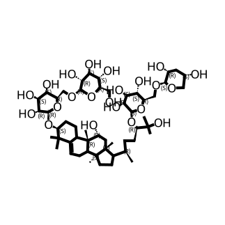 C[C@H](CC[C@@H](O[C@@H]1O[C@H](CO[C@@H]2OC[C@@H](O)C[C@H]2O)[C@@H](O)[C@H](O)[C@H]1O)C(C)(C)O)C1CC[C@@]2(C)C3CC=C4C(CC[C@H](O[C@@H]5O[C@H](CO[C@@H]6O[C@H](CO)[C@@H](O)[C@H](O)[C@H]6O)[C@@H](O)[C@H](O)[C@H]5O)C4(C)C)[C@]3(C)[C@H](O)C[C@]12C